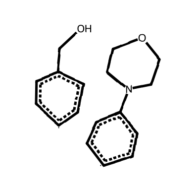 OCc1cc[c]cc1.[c]1ccc(N2CCOCC2)cc1